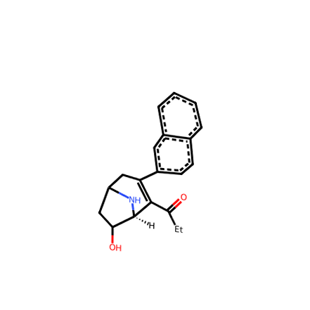 CCC(=O)C1=C(c2ccc3ccccc3c2)CC2CC(O)[C@H]1N2